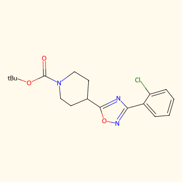 CC(C)(C)OC(=O)N1CCC(c2nc(-c3ccccc3Cl)no2)CC1